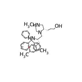 Cc1ccc(C[C@@H](CN2C[C@@H](C)NC[C@@H]2CCCO)NC(c2ccccc2)(c2ccccc2)c2ccccc2)c(C)c1